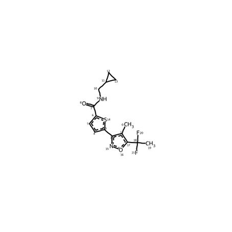 Cc1c(-c2ccc(C(=O)NCC3CC3)s2)noc1C(C)(F)F